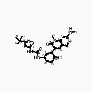 CNc1ncc2cc(-c3cc(NC(=O)Nc4cc(C(C)(C)C)no4)ccc3Cl)c(=O)n(C)c2n1